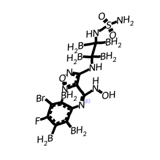 Bc1c(B)c(/N=C(/NO)c2nonc2NC(B)(B)C(B)(B)NS(N)(=O)=O)c(B)c(Br)c1F